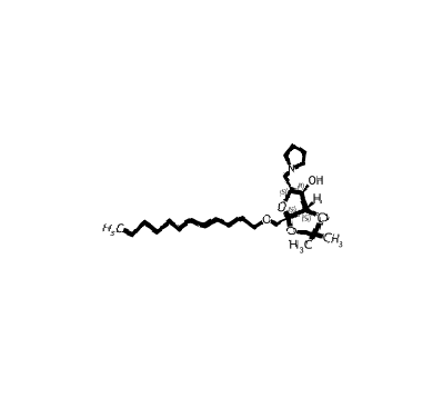 CCCCCCCCCCCCOC[C@@]12O[C@@H](CN3CCCC3)[C@@H](O)[C@@H]1OC(C)(C)O2